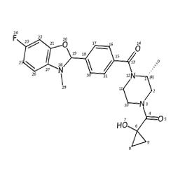 C[C@@H]1CN(C(=O)C2(O)CC2)CCN1C(=O)c1ccc(C2Oc3cc(F)ccc3N2C)cc1